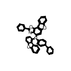 c1ccc(-c2ccc(N(c3cc4oc5ccccc5c4c4oc(-c5ccccc5)nc34)c3cccc4oc5ccccc5c34)cc2)cc1